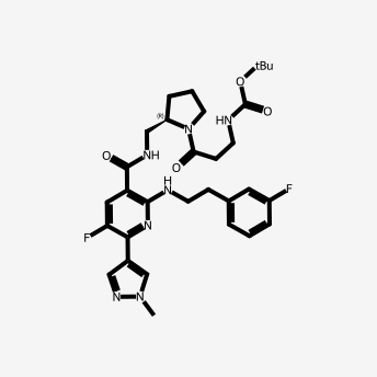 Cn1cc(-c2nc(NCCc3cccc(F)c3)c(C(=O)NC[C@H]3CCCN3C(=O)CCNC(=O)OC(C)(C)C)cc2F)cn1